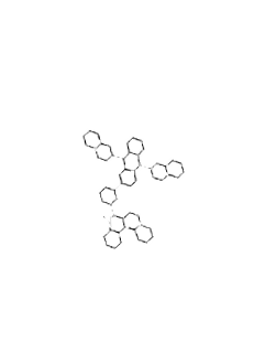 c1cc(-c2ccc3c(-c4ccc5ccccc5c4)c4ccccc4c(-c4ccc5ccccc5c4)c3c2)cc(-c2nc3ccccc3c3c2ccc2ccccc23)c1